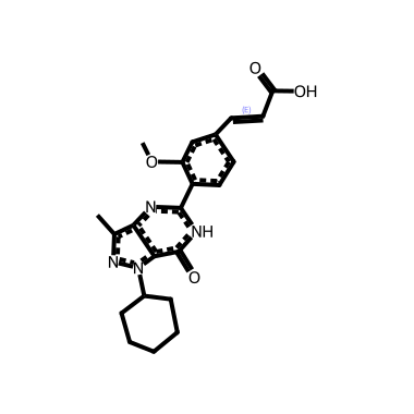 COc1cc(/C=C/C(=O)O)ccc1-c1nc2c(C)nn(C3CCCCC3)c2c(=O)[nH]1